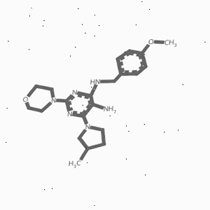 COc1ccc(CNc2nc(N3CCOCC3)nc(N3CCC(C)C3)c2N)cc1